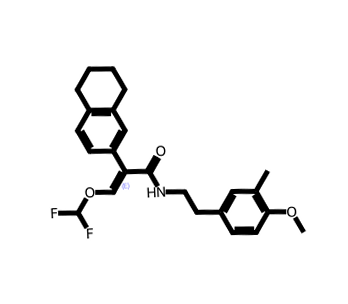 COc1ccc(CCNC(=O)/C(=C/OC(F)F)c2ccc3c(c2)CCCC3)cc1C